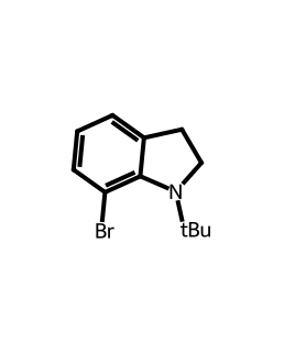 CC(C)(C)N1CCc2cccc(Br)c21